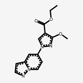 CCOC(=O)c1cn(-c2ccn3nccc3c2)nc1OC